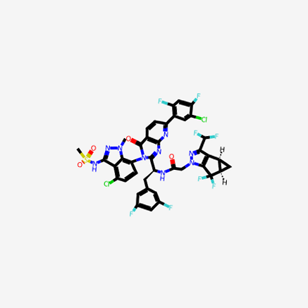 Cn1nc(NS(C)(=O)=O)c2c(Cl)ccc(-n3c([C@H](Cc4cc(F)cc(F)c4)NC(=O)Cn4nc(C(F)F)c5c4C(F)(F)[C@@H]4C[C@H]54)nc4nc(-c5cc(Cl)c(F)cc5F)ccc4c3=O)c21